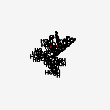 CCCCCOCC(COCCCCC)COCC(COCC(COCCCCC)COCCCCC)COCC(CO[C@@H]1OC(CO)[C@@H](O[C@H]2OC(CO)[C@@H](O)C(O)C2O)C(O)C1O)(CO[C@@H]1OC(CO)[C@@H](O[C@H]2OC(CO)[C@@H](O)C(O)C2O)C(O)C1O)CO[C@@H]1OC(CO)[C@H](O[C@H]2OC(CO)[C@@H](O)C(O)C2O)C(O)C1O